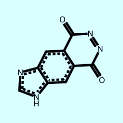 O=C1N=NC(=O)c2cc3[nH]cnc3cc21